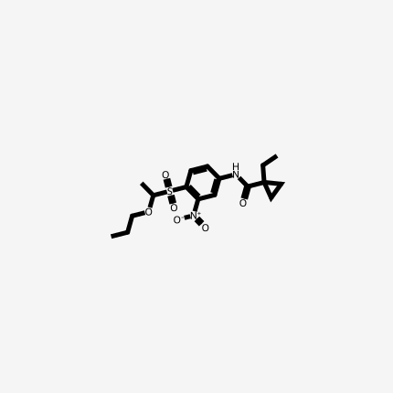 CCCOC(C)S(=O)(=O)c1ccc(NC(=O)C2(CC)CC2)cc1[N+](=O)[O-]